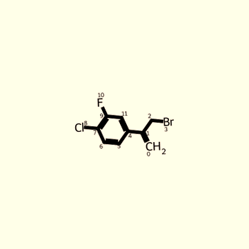 C=C(CBr)c1ccc(Cl)c(F)c1